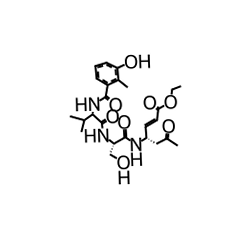 CCOC(=O)/C=C/[C@H](CC(C)=O)NC(=O)[C@H](CO)NC(=O)[C@@H](NC(=O)c1cccc(O)c1C)C(C)C